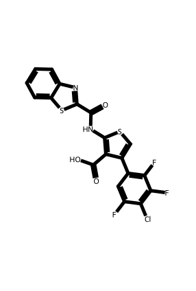 O=C(Nc1scc(-c2cc(F)c(Cl)c(F)c2F)c1C(=O)O)c1nc2ccccc2s1